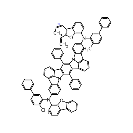 C=Cc1oc2c(N(c3ccc4c(c3)c3cccc5c6c(-c7ccccc7)c7c(c(-c8ccccc8)c6n4c35)c3cccc4c5cc(N(c6cc(-c8ccccc8)ccc6C)c6cccc8c6oc6ccccc68)ccc5n7c43)c3cc(-c4ccccc4)ccc3C)cccc2c1/C=C\C